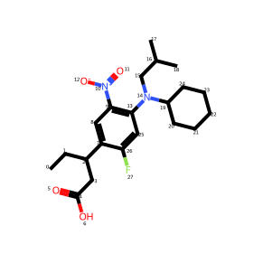 CCC(CC(=O)O)c1cc([N+](=O)[O-])c(N(CC(C)C)C2CCCCC2)cc1F